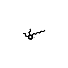 CCCCCCCc1[c]ccc(CCC)c1CCC